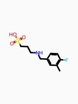 Cc1cc(CNCCCS(=O)(=O)O)ccc1F